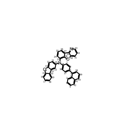 c1ccc2c(-c3ccc(N(c4ccc5oc6ccccc6c5c4)c4cccc5c4oc4cccnc45)cc3)cccc2c1